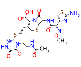 CO/N=C(\C(=O)NC1C(=O)N2C(C(=O)O)=C(/C=C/Sc3n[nH]c(=O)c(=O)n3CCNC(C)=O)CSC12)c1csc(N)n1